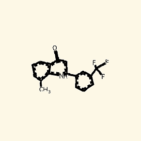 Cc1cccc2c(=O)cc(-c3cccc(C(F)(F)F)c3)[nH]c12